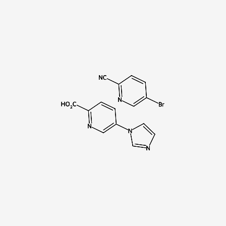 N#Cc1ccc(Br)cn1.O=C(O)c1ccc(-n2ccnc2)cn1